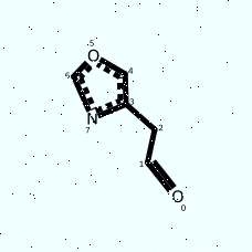 O=[C]Cc1cocn1